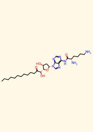 CCCCCCCCCCCC(=O)C(O)[C@H]1O[C@@H](n2cnc3c(NC(=O)[C@@H](N)CCCCN)ncnc32)C[C@@H]1O